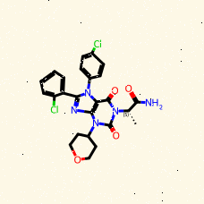 C[C@@H](C(N)=O)n1c(=O)c2c(nc(-c3ccccc3Cl)n2-c2ccc(Cl)cc2)n(C2CCOCC2)c1=O